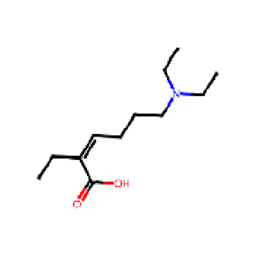 CCC(=CCCCN(CC)CC)C(=O)O